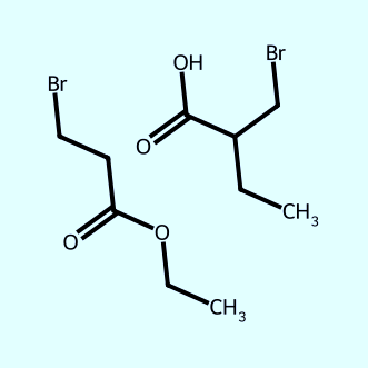 CCC(CBr)C(=O)O.CCOC(=O)CCBr